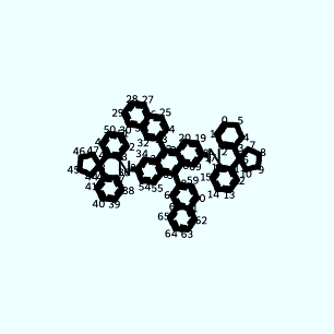 C1=CC2=C(CC1)C1(CCCC1)c1ccccc1N2c1ccc2c(-c3ccc4ccccc4c3)c3cc(N4c5ccccc5C5(CCCC5)c5ccccc54)ccc3c(-c3ccc4ccccc4c3)c2c1